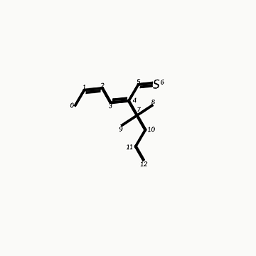 C/C=C\C=C(/C=S)C(C)(C)CCC